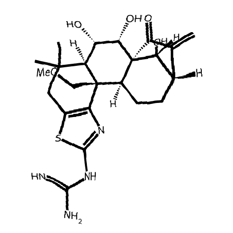 C=C1C(=O)[C@]23[C@H](O)[C@H]1CC[C@H]2[C@]1(COC)c2nc(NC(=N)N)sc2CC(C)(C)[C@H]1[C@H](O)[C@@H]3O